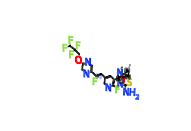 C[C@H]1C2[C@@]1(C(=O)N(C)C)SC(N)=N[C@]2(C)c1cc(/C=C(\F)c2cnc(OCC(F)(F)C(F)F)cn2)cnc1F